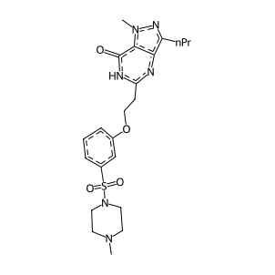 CCCc1nn(C)c2c(=O)[nH]c(CCOc3cccc(S(=O)(=O)N4CCN(C)CC4)c3)nc12